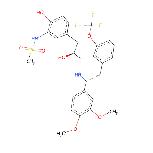 COc1ccc([C@@H](Cc2cccc(OC(F)(F)F)c2)NC[C@@H](O)Cc2ccc(O)c(NS(C)(=O)=O)c2)cc1OC